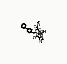 CCOC(=O)[C@](C)(CO)C[C@@H](Cc1ccc(-c2ccccc2)cc1)NC(=O)c1cnn[nH]1